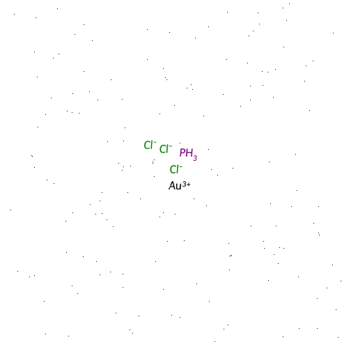 P.[Au+3].[Cl-].[Cl-].[Cl-]